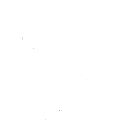 C/C=C/C(=O)Nc1cccc(-c2cc(-c3ccc(C(=O)Nc4cc(C5CC5)ccn4)c(OC)c3)cc3cncnc23)c1